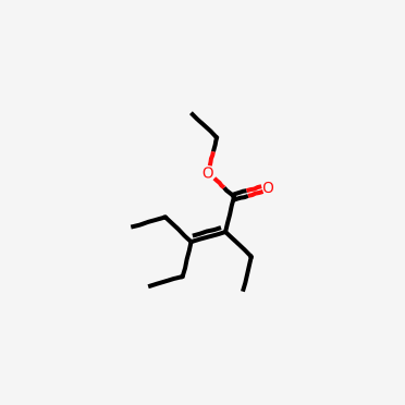 CCOC(=O)C(CC)=C(CC)CC